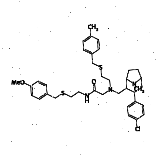 COc1ccc(CSCCNC(=O)CN(CCSCc2ccc(C)cc2)CC2C(c3ccc(Cl)cc3)CC3CCC2N3C)cc1